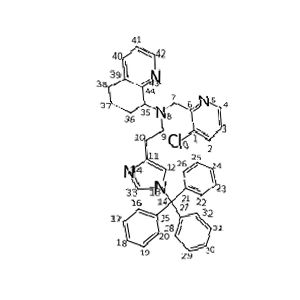 Clc1cccnc1CN(CCc1cn(C(c2ccccc2)(c2ccccc2)c2ccccc2)cn1)C1CCCc2cccnc21